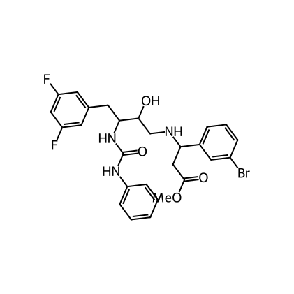 COC(=O)CC(NCC(O)C(Cc1cc(F)cc(F)c1)NC(=O)Nc1ccccc1)c1cccc(Br)c1